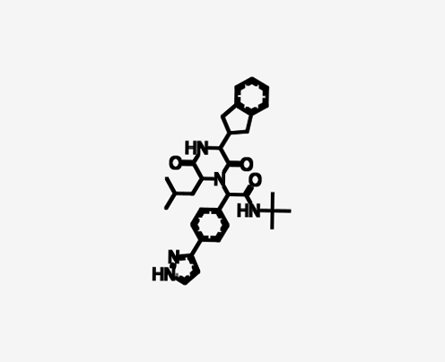 CC(C)CC1C(=O)NC(C2Cc3ccccc3C2)C(=O)N1C(C(=O)NC(C)(C)C)c1ccc(-c2cc[nH]n2)cc1